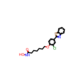 O=C(CCCCCCOc1ccc(-c2nc3ccccc3s2)cc1Cl)NO